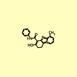 Cc1cccn2c3c(nc12)C(C(=O)Nc1ccccc1)=C(O)CC3